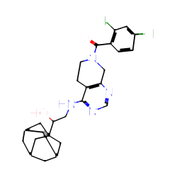 O=C(c1ccc(Cl)cc1Cl)N1CCc2c(ncnc2NCC(O)C23CC4CC(CC(C4)C2)C3)C1